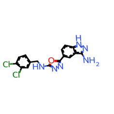 Nc1n[nH]c2ccc(-c3nnc(NCc4ccc(Cl)c(Cl)c4)o3)cc12